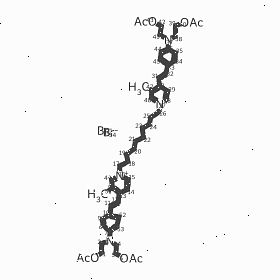 CC(=O)OCCN(CCOC(C)=O)c1ccc(/C=C/c2cc[n+](CCCCCCCCCC[n+]3ccc(/C=C/c4ccc(N(CCOC(C)=O)CCOC(C)=O)cc4)c(C)c3)cc2C)cc1.[Br-].[Br-]